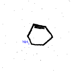 C1=CCCCC1.N